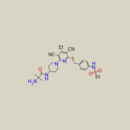 CCc1c(C#N)c(SCc2ccc(NS(=O)(=O)CC)cc2)nc(N2CCC(NC(=O)C(C)(C)N)CC2)c1C#N